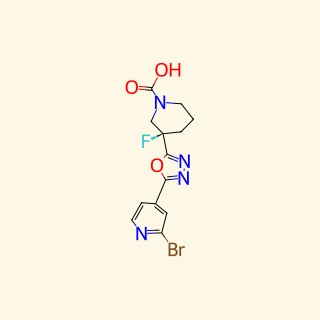 O=C(O)N1CCC[C@](F)(c2nnc(-c3ccnc(Br)c3)o2)C1